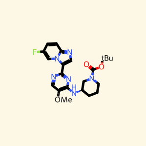 COc1cnc(-c2cnc3ccc(F)cn23)nc1N[C@@H]1CCCN(C(=O)OC(C)(C)C)C1